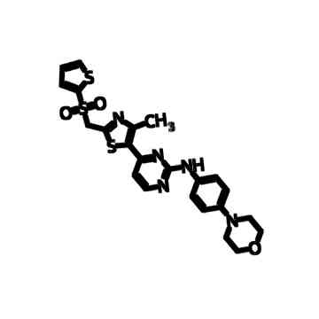 Cc1nc(CS(=O)(=O)c2cccs2)sc1-c1ccnc(Nc2ccc(N3CCOCC3)cc2)n1